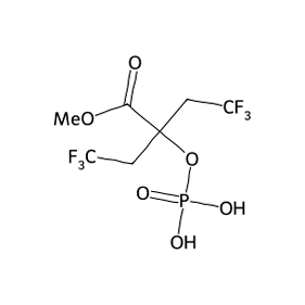 COC(=O)C(CC(F)(F)F)(CC(F)(F)F)OP(=O)(O)O